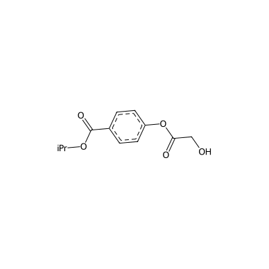 CC(C)OC(=O)c1ccc(OC(=O)CO)cc1